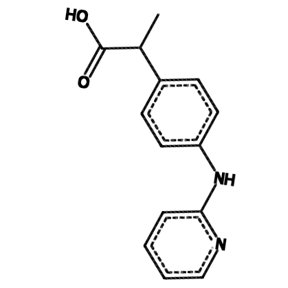 CC(C(=O)O)c1ccc(Nc2ccccn2)cc1